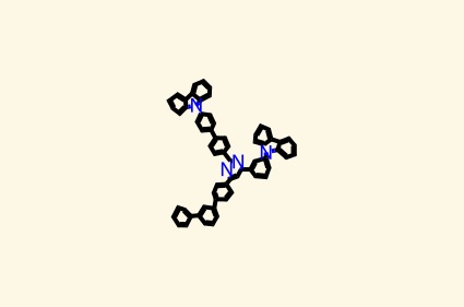 c1ccc(-c2cccc(-c3ccc(-c4cc(-c5cccc(-n6c7ccccc7c7ccccc76)c5)nc(-c5ccc(-c6ccc(-n7c8ccccc8c8ccccc87)cc6)cc5)n4)cc3)c2)cc1